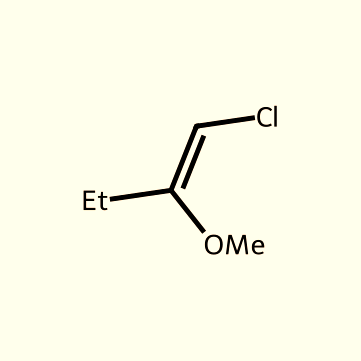 CC/C(=C/Cl)OC